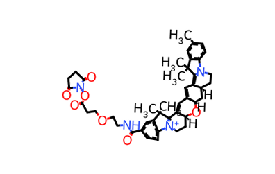 Cc1ccc2c(c1)C(C)(C)C1=C3C=C4C=C5C6=[N+](CC[C@H]5O[C@H]4C[C@H]3CCN12)c1ccc(C(=O)NCCOCCC(=O)ON2C(=O)CCC2=O)cc1C6(C)C